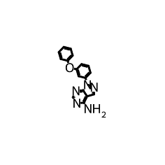 Nc1ncnc2c1cnn2-c1cccc(Oc2ccccc2)c1